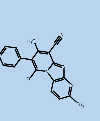 Cc1ccc2c(n1)nc1c(C#N)c(C)c(-c3ccccc3)c(Cl)n12